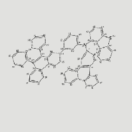 c1ccc(-c2ccc(N(c3cccc(-c4ccc5c(c4)c(-c4ccccc4)c(-c4ccccc4)c4ccccc45)c3)c3cccc4sc5ccccc5c34)cc2-c2ccccc2)cc1